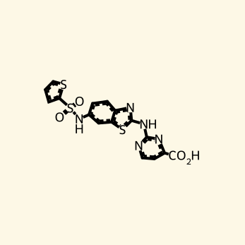 O=C(O)c1ccnc(Nc2nc3ccc(NS(=O)(=O)c4cccs4)cc3s2)n1